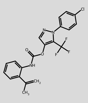 C=C(C)c1ccccc1NC(=O)Oc1cnn(-c2ccc(Cl)cc2)c1C(F)(F)F